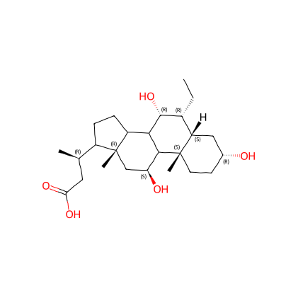 CC[C@H]1[C@@H](O)C2C3CCC([C@H](C)CC(=O)O)[C@@]3(C)C[C@H](O)C2[C@@]2(C)CC[C@@H](O)C[C@@H]12